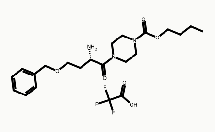 CCCCOC(=O)N1CCN(C(=O)[C@@H](N)CCOCc2ccccc2)CC1.O=C(O)C(F)(F)F